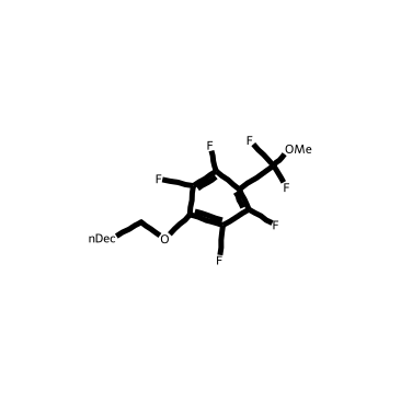 CCCCCCCCCCCOc1c(F)c(F)c(C(F)(F)OC)c(F)c1F